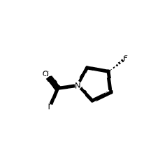 O=C(I)N1CC[C@@H](F)C1